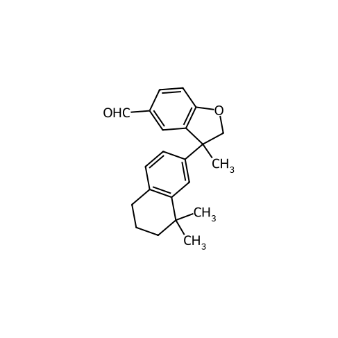 CC1(C)CCCc2ccc(C3(C)COc4ccc(C=O)cc43)cc21